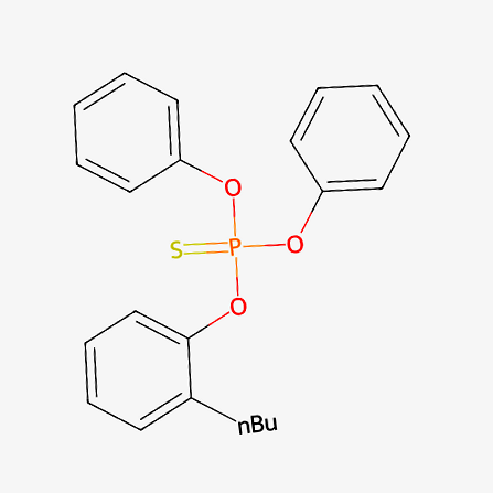 CCCCc1ccccc1OP(=S)(Oc1ccccc1)Oc1ccccc1